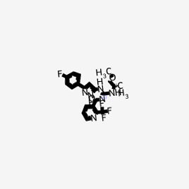 COC[C@H](C)N/C(=N/C(=O)c1cccnc1C(F)(F)F)Nc1cc(-c2ccc(F)cc2)n[nH]1